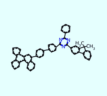 CC1(C)c2ccccc2-c2ccc(-c3nc(-c4ccccc4)nc(-c4ccc(-c5ccc(-c6cc7c8ccccc8c8ccccc8c7c7ccccc67)cc5)cc4)n3)cc21